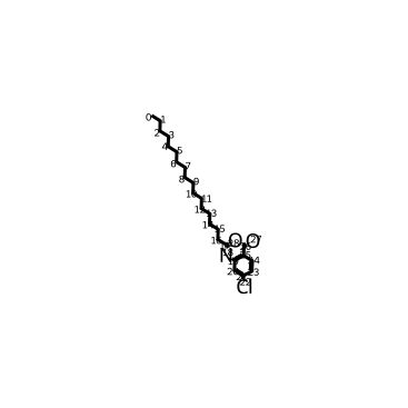 CCCCCCCCCCCCCCCCCc1nc2cc(Cl)ccc2c(=O)o1